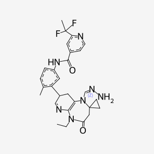 CCN1C(=O)CC2(CC2)N(/C=N\N)C2=C1N=CC(c1cc(NC(=O)c3ccnc(C(C)(F)F)c3)ccc1C)C2